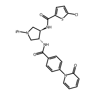 CC(C)N1C[C@@H](NC(=O)c2ccc(-n3ccccc3=O)cc2)[C@H](NC(=O)c2ccc(Cl)s2)C1